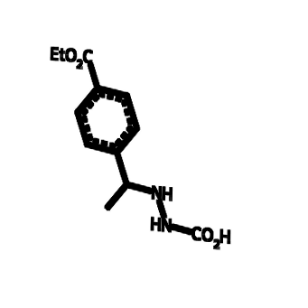 CCOC(=O)c1ccc(C(C)NNC(=O)O)cc1